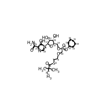 CC(C)(C)C(=O)SCCOCP(=O)(OC[C@H]1O[C@@H](n2cnc(C(N)=O)c2O)[C@H](O)[C@@H]1O)Oc1ccccc1